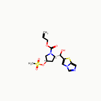 C=CCOC(=O)N1C[C@H](OS(C)(=O)=O)C[C@H]1C(O)c1cn2cncc2s1